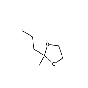 CC1(CCI)OCCO1